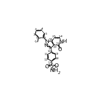 Cc1ccccc1-n1nc(-c2ccc(S(N)(=O)=O)cc2)c2c(=O)[nH]ccc21